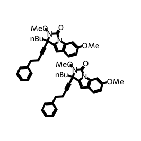 CCCCC1(C#CCCc2ccccc2)c2cc3ccc(OC)cc3n2C(=O)N1OC.CCCCC1(C#CCCc2ccccc2)c2cc3ccc(OC)cc3n2C(=O)N1OC